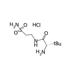 CC(C)(C)[C@H](N)C(=O)NCCS(N)(=O)=O.Cl